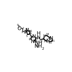 COCCn1cc(-c2cnc(NN)c(NCc3ccc4nccn4c3)n2)cn1